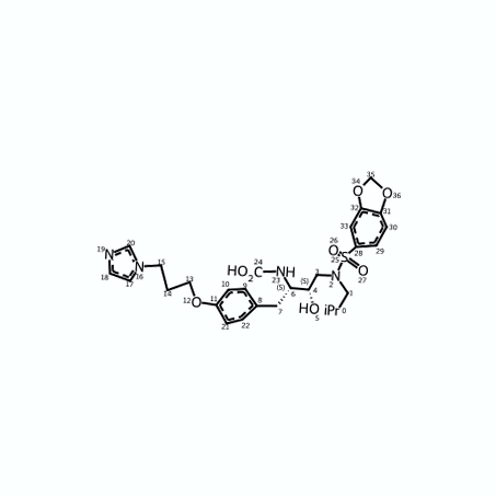 CC(C)CN(C[C@H](O)[C@H](Cc1ccc(OCCCn2ccnc2)cc1)NC(=O)O)S(=O)(=O)c1ccc2c(c1)OCO2